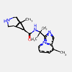 Cc1cccn2c(C(C)(C)NC(=O)C3C4CNCC43C)ncc12